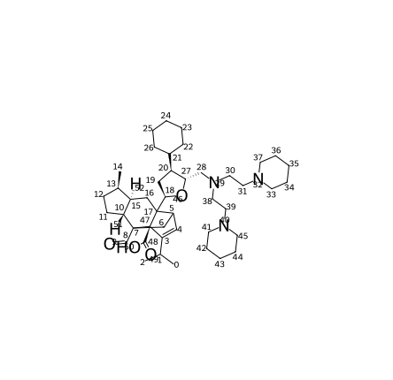 CC(C)C1=CC2CC3(C=O)[C@@H]4CC[C@@H](C)[C@H]4CC2([C@H]2C[C@@H](C4CCCCC4)[C@H](CN(CCN4CCCCC4)CCN4CCCCC4)O2)[C@]13C(=O)O